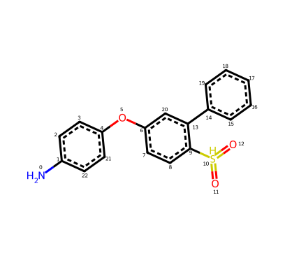 Nc1ccc(Oc2ccc([SH](=O)=O)c(-c3ccccc3)c2)cc1